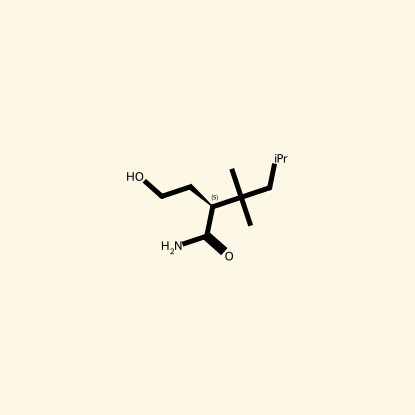 CC(C)CC(C)(C)[C@H](CCO)C(N)=O